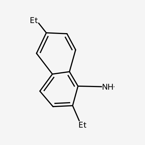 CCc1ccc2c([NH])c(CC)ccc2c1